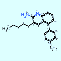 CCCCCc1cc2c(-c3ccc(C)cc3)cccc2nc1N